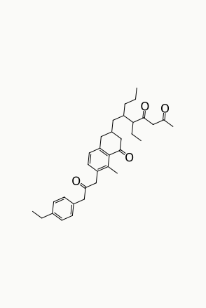 CCCC(CC1CC(=O)c2c(ccc(CC(=O)Cc3ccc(CC)cc3)c2C)C1)C(CC)C(=O)CC(C)=O